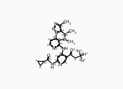 [2H]C([2H])([2H])CC(=O)c1cnc(NC(=O)C2CC2)cc1Nc1nccc2c1N(C)[C@H](C)c1c(C)nnn1-2